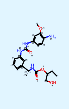 CCC(CO)OC(=O)N[C@H](C)c1cccc(NC(=O)Nc2ccc(N)c(OC)c2)c1